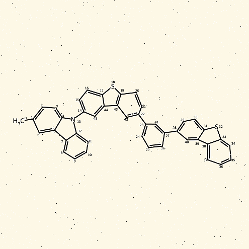 Cc1ccc2c(c1)c1ccccc1n2-c1ccc2sc3ccc(-c4cccc(-c5ccc6sc7ccccc7c6c5)c4)cc3c2c1